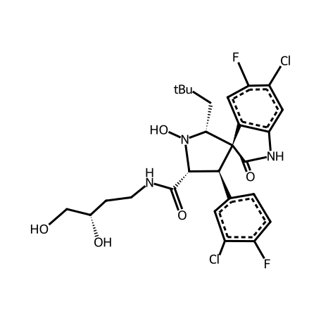 CC(C)(C)C[C@H]1N(O)[C@@H](C(=O)NCC[C@H](O)CO)[C@H](c2ccc(F)c(Cl)c2)[C@@]12C(=O)Nc1cc(Cl)c(F)cc12